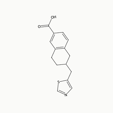 O=C(O)c1ccc2c(c1)CCC(Cc1cncs1)C2